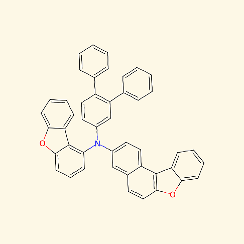 c1ccc(-c2ccc(N(c3ccc4c(ccc5oc6ccccc6c54)c3)c3cccc4oc5ccccc5c34)cc2-c2ccccc2)cc1